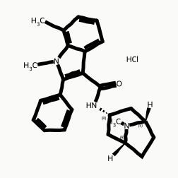 Cc1cccc2c(C(=O)N[C@H]3C[C@H]4CC[C@@H](C3)N4C)c(-c3ccccc3)n(C)c12.Cl